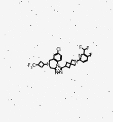 Fc1ccc(N2CC3(CC(c4nnc5n4-c4ccc(Cl)cc4CN(C4CC(C(F)(F)F)C4)C5)C3)C2)nc1C(F)F